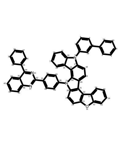 c1ccc(-c2cccc(-n3c4ccccc4c4c3ccc3c5c6c(ccc5n(-c5ccc(-c7nc(-c8ccccc8)c8ccccc8n7)cc5)c34)oc3ccccc36)c2)cc1